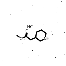 COC(=O)CC1CCCNC1.Cl